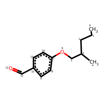 CCCC(C)COc1ccc(C=O)cc1